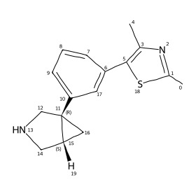 Cc1nc(C)c(-c2cccc([C@]34CNC[C@H]3C4)c2)s1